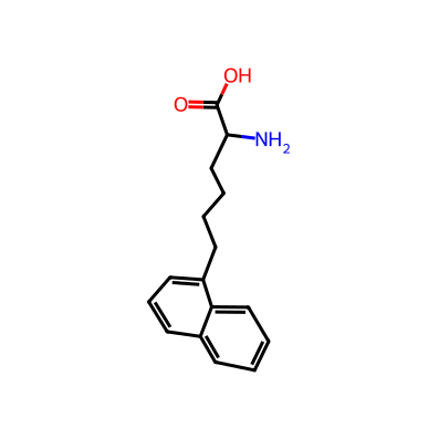 NC(CCCCc1cccc2ccccc12)C(=O)O